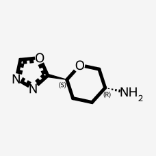 N[C@@H]1CC[C@@H](c2nnco2)OC1